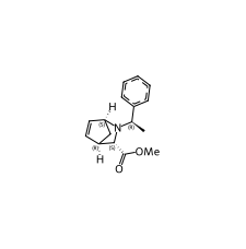 COC(=O)[C@@H]1[C@H]2C=C[C@H](C2)N1[C@H](C)c1ccccc1